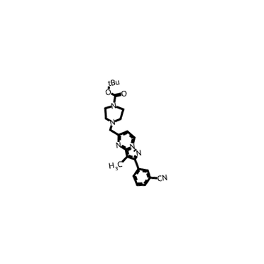 Cc1c(-c2cccc(C#N)c2)nn2ccc(CN3CCN(C(=O)OC(C)(C)C)CC3)nc12